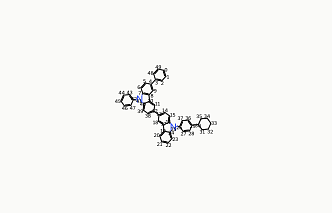 c1ccc(-c2ccc3c(c2)c2cc(-c4ccc5c(c4)c4ccccc4n5-c4ccc(C5CCCCC5)cc4)ccc2n3-c2ccccc2)cc1